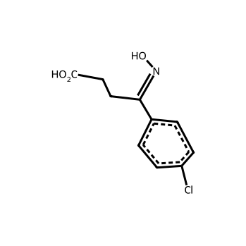 O=C(O)CC/C(=N\O)c1ccc(Cl)cc1